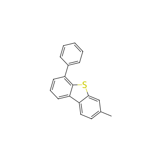 Cc1ccc2c(c1)sc1c(-c3ccccc3)cccc12